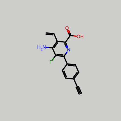 C#Cc1ccc(-c2nc(C(=O)O)c(C=C)c(N)c2F)cc1